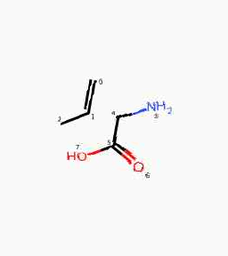 C=CC.NCC(=O)O